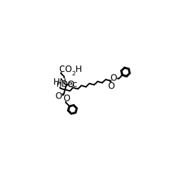 CCCCCCCCCCCC(CCCCCCCCCCC(=O)OCc1ccccc1)(C(=O)NCCC(=O)O)C(=O)OCc1ccccc1